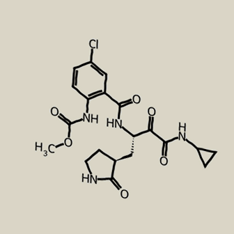 COC(=O)Nc1ccc(Cl)cc1C(=O)N[C@@H](C[C@@H]1CCNC1=O)C(=O)C(=O)NC1CC1